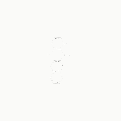 Cc1cccnc1N(C)c1ccc2ccccc2n1